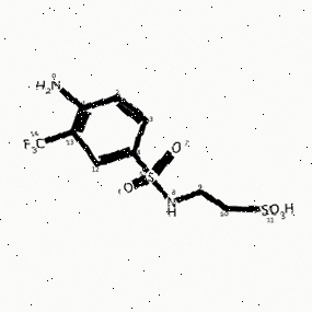 Nc1ccc(S(=O)(=O)NCCS(=O)(=O)O)cc1C(F)(F)F